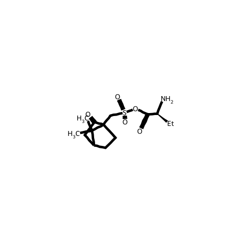 CC[C@H](N)C(=O)OS(=O)(=O)CC12CCC(CC1=O)C2(C)C